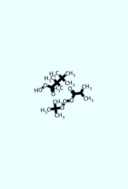 CC(C)(C)C(C)(C)C(=O)OO.CC(C)C(=O)OOOC(C)(C)C